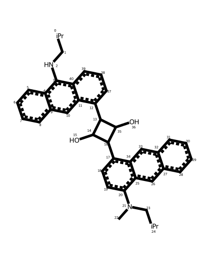 CC(C)CNc1c2ccccc2cc2c(C3C(O)C(c4ccc(N(C)CC(C)C)c5cc6ccccc6cc45)C3O)cccc12